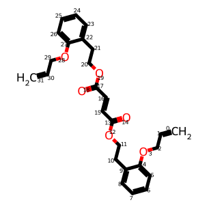 C=CCOc1ccccc1CCOC(=O)/C=C/C(=O)OCCc1ccccc1OCC=C